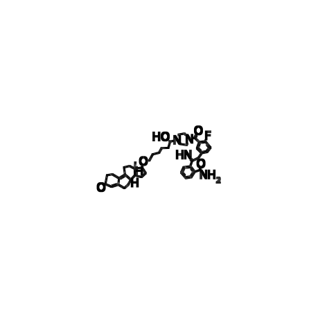 C[C@]12CCC3=C4CCC(=O)C=C4CC[C@H]3[C@@H]1CC[C@@H]2OCCCCCC(O)N1CCN(C(=O)c2cc(CC(=N)c3ccccc3C(N)=O)ccc2F)CC1